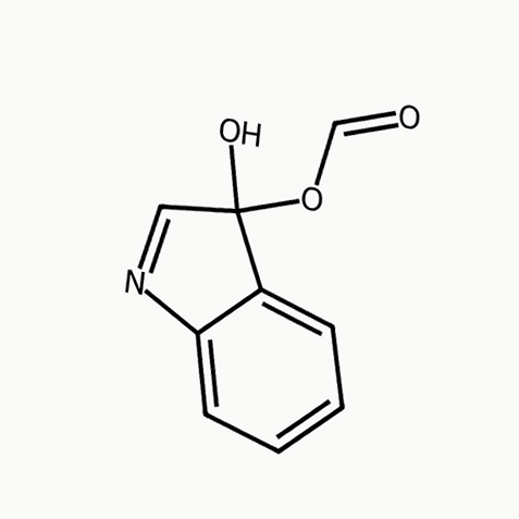 O=COC1(O)C=Nc2ccccc21